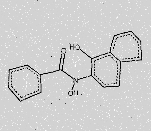 O=C(c1ccccc1)N(O)c1ccc2ccccc2c1O